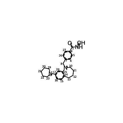 O=C(NO)c1ccc(CN2CCCCc3ccc(N4CCCCC4)cc32)cc1